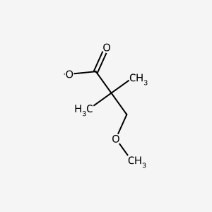 COCC(C)(C)C([O])=O